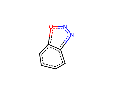 [c]1ccc2onnc2c1